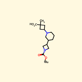 CC(C)(C)OC(=O)N1CC(C2CCCN(C3CC(C)(C(=O)O)C3)C2)C1